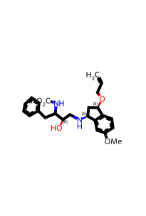 C=CCO[C@@H]1C[C@H](NC[C@@H](O)C(Cc2ccccc2)NC(=O)O)c2cc(OC)ccc21